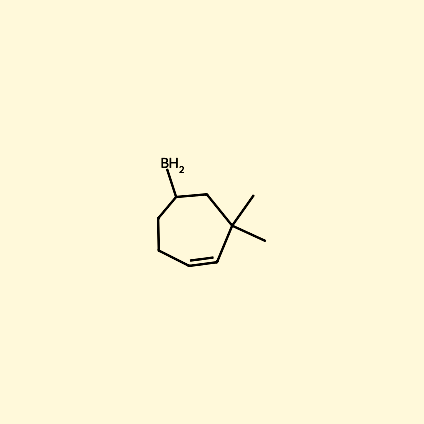 BC1CCC=CC(C)(C)C1